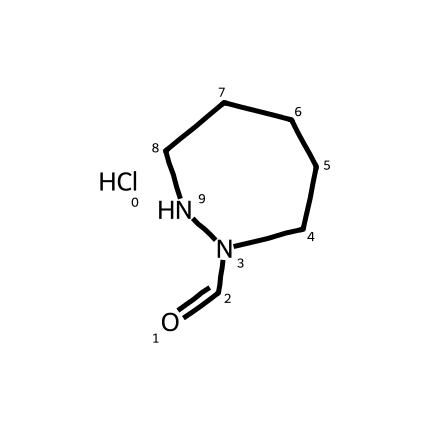 Cl.O=CN1CCCCCN1